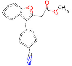 COC(=O)Cc1oc2ccccc2c1-c1ccc(C#N)cc1